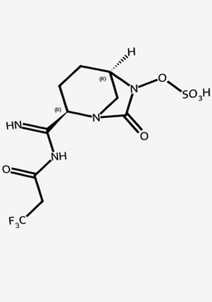 N=C(NC(=O)CC(F)(F)F)[C@H]1CC[C@@H]2CN1C(=O)N2OS(=O)(=O)O